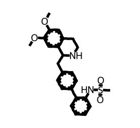 COc1cc2c(cc1OC)C(Cc1ccc(-c3ccccc3NS(C)(=O)=O)cc1)NCC2